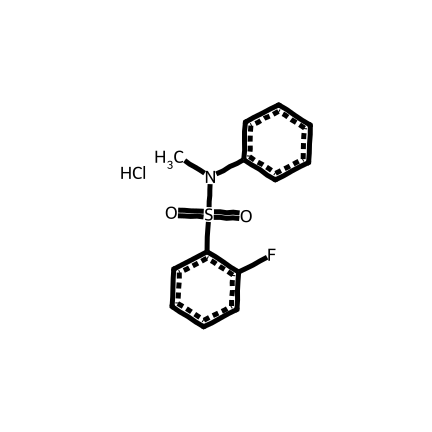 CN(c1ccccc1)S(=O)(=O)c1ccccc1F.Cl